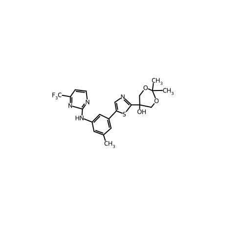 Cc1cc(Nc2nccc(C(F)(F)F)n2)cc(-c2cnc(C3(O)COC(C)(C)OC3)s2)c1